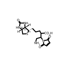 NCC(C(CCC[C@@H]1SC[C@@H]2NC(=O)N[C@@H]21)C(=O)O)N1C(=O)C=CC1=O